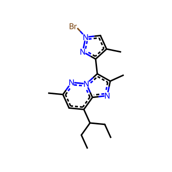 CCC(CC)c1cc(C)nn2c(-c3nn(Br)cc3C)c(C)nc12